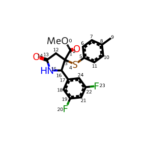 COC(=O)C1(Sc2ccc(C)cc2)CC(=O)NC1c1cc(F)cc(F)c1